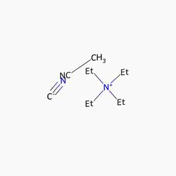 CC#N.CC[N+](CC)(CC)CC.[C-]#N